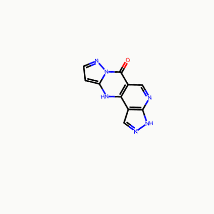 O=c1c2cnc3[nH]ncc3c2[nH]c2ccnn12